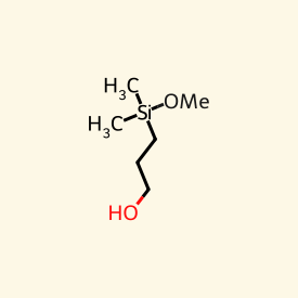 CO[Si](C)(C)CCCO